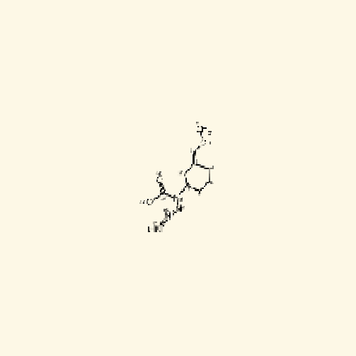 COC[C@H]1CCCC(N(N=[N+]=N)C(=O)[O-])C1